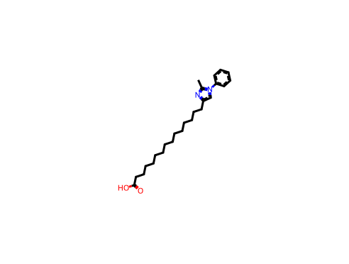 Cc1nc(CCCCCCCCCCCCCCC(=O)O)cn1-c1ccccc1